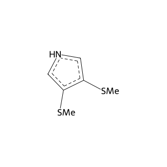 CSc1c[nH]cc1SC